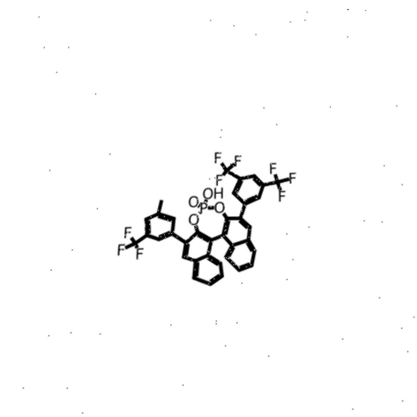 Cc1cc(-c2cc3ccccc3c3c2OP(=O)(O)Oc2c(-c4cc(C(F)(F)F)cc(C(F)(F)F)c4)cc4ccccc4c2-3)cc(C(F)(F)F)c1